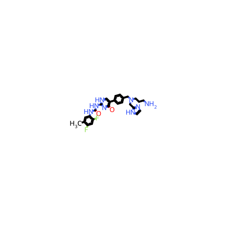 Cc1cc(NC(=O)Nc2nc(=O)c(-c3ccc(CN(CCCN)Cc4ncc[nH]4)cc3)c[nH]2)c(F)cc1F